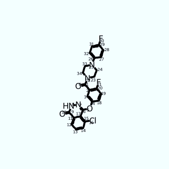 O=C(c1cc(Oc2n[nH]c(=O)c3cccc(Cl)c23)ccc1F)N1CCN(c2ccc(F)cc2)CC1